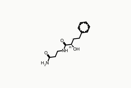 NC(=O)CCNC(=O)[C@H](O)[CH]Cc1ccccc1